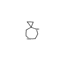 C1CNC2(CCN1)CC2